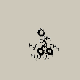 Cc1cc(C)c(CN(CC(=O)Nc2cccnc2)c2cc(C)ccc2C)c(C)c1